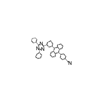 N#Cc1ccc(-c2c3ccccc3c(-c3cccc(-c4nc(C5=CCCC=C5)nc(-c5ccccc5)n4)c3)c3ccccc23)cc1